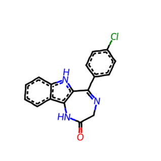 O=C1CN=C(c2ccc(Cl)cc2)c2[nH]c3ccccc3c2N1